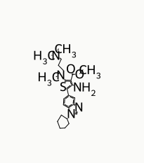 COC(=O)c1c(N(C)CCCN(C)C)sc(-c2ccc3c(c2)ncn3C2CCCCC2)c1N